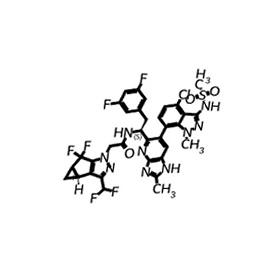 Cc1nc2nc([C@H](Cc3cc(F)cc(F)c3)NC(=O)Cn3nc(C(F)F)c4c3C(F)(F)C3C[C@H]43)c(-c3ccc(Cl)c4c(NS(C)(=O)=O)nn(C)c34)cc2[nH]1